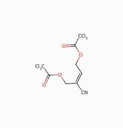 N#CC(=CCOC(=O)C(Cl)(Cl)Cl)COC(=O)C(Cl)(Cl)Cl